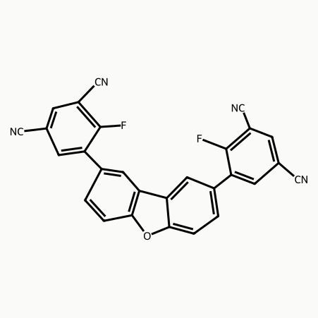 N#Cc1cc(C#N)c(F)c(-c2ccc3oc4ccc(-c5cc(C#N)cc(C#N)c5F)cc4c3c2)c1